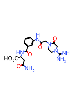 N=C(N)N1CCN(CC(=O)Nc2cccc(C(=O)N[C@@H](CC(N)=O)C(=O)O)c2)C(=O)C1